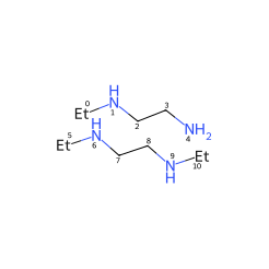 CCNCCN.CCNCCNCC